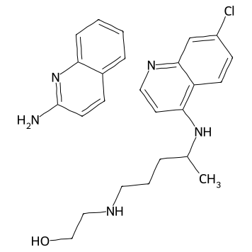 CC(CCCNCCO)Nc1ccnc2cc(Cl)ccc12.Nc1ccc2ccccc2n1